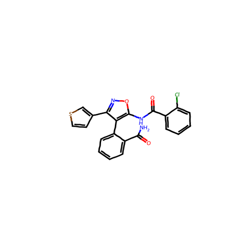 NC(=O)c1ccccc1-c1c(-c2ccsc2)noc1NC(=O)c1ccccc1Cl